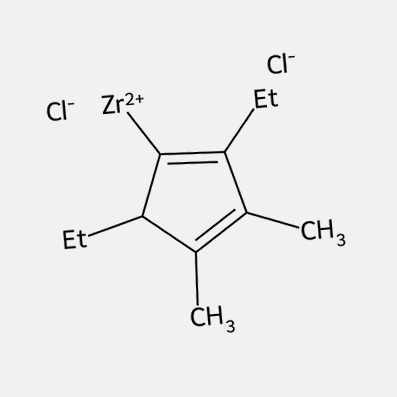 CCC1=[C]([Zr+2])C(CC)C(C)=C1C.[Cl-].[Cl-]